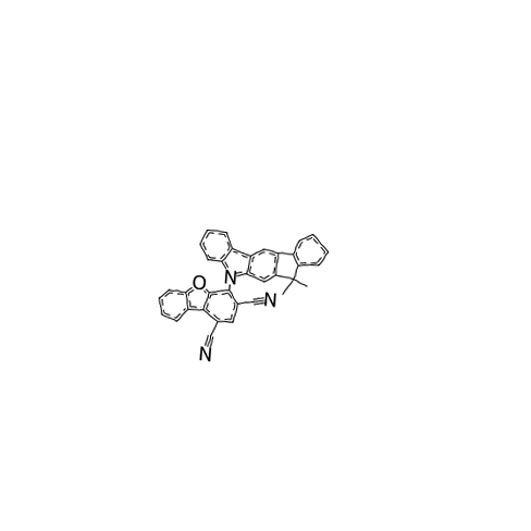 CC1(C)c2ccccc2-c2cc3c4ccccc4n(-c4c(C#N)cc(C#N)c5c4oc4ccccc45)c3cc21